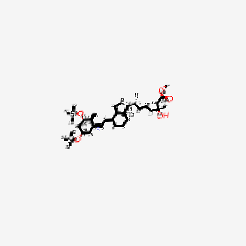 C=C1/C(=C\C=C2CCC[C@@]3(C)C2CC[C@@H]3[C@H](C)CCC[C@@](C)(O)CC(=O)OC)C[C@@H](O[Si](C)(C)C)C[C@H]1O[Si](C)(C)C